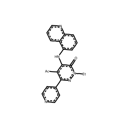 CCn1nc(-c2ccncc2)c(C(C)=O)c(Nc2cccc3ncccc23)c1=O